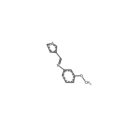 COc1cccc(N=Cc2ccsc2)c1